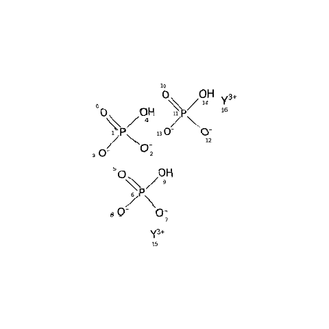 O=P([O-])([O-])O.O=P([O-])([O-])O.O=P([O-])([O-])O.[Y+3].[Y+3]